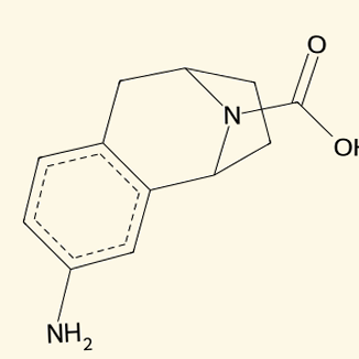 Nc1ccc2c(c1)C1CCC(C2)N1C(=O)O